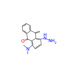 C=C1c2ccccc2C(=O)c2c(N(C)C)ccc(NN)c21